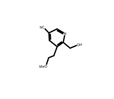 COCCc1cc(C#N)cnc1CO